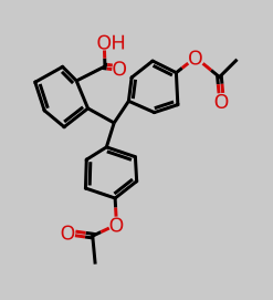 CC(=O)Oc1ccc(C(c2ccc(OC(C)=O)cc2)c2ccccc2C(=O)O)cc1